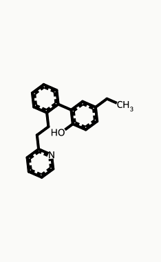 CCc1ccc(O)c(-c2ccccc2CCc2ccccn2)c1